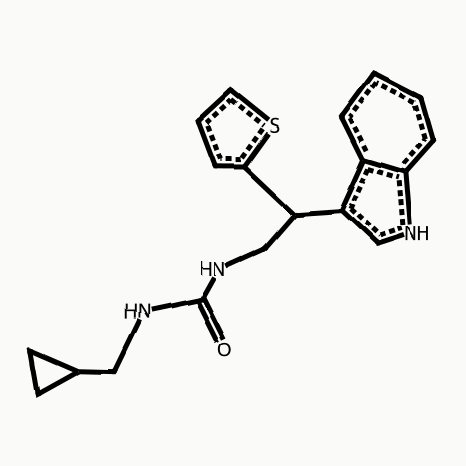 O=C(NCC1CC1)NCC(c1cccs1)c1c[nH]c2ccccc12